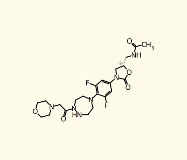 CC(=O)NC[C@H]1CN(c2cc(F)c(N3CCNN(C(=O)CN4CCOCC4)CC3)c(F)c2)C(=O)O1